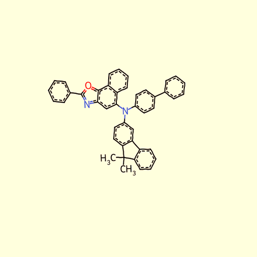 CC1(C)c2ccccc2-c2cc(N(c3ccc(-c4ccccc4)cc3)c3cc4nc(-c5ccccc5)oc4c4ccccc34)ccc21